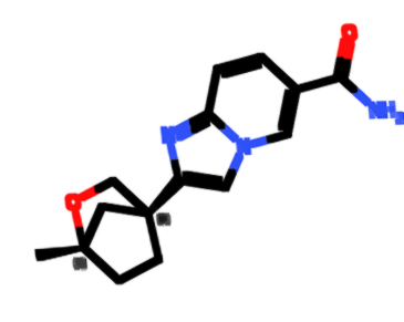 C[C@@]12CC[C@@](c3cn4cc(C(N)=O)ccc4n3)(CO1)C2